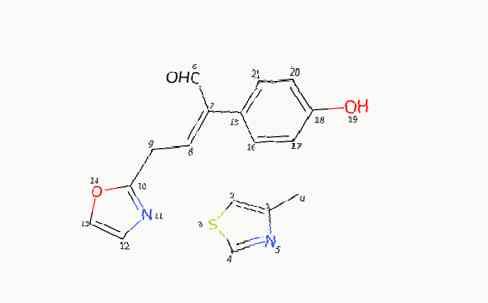 Cc1cscn1.O=CC(=CCc1ncco1)c1ccc(O)cc1